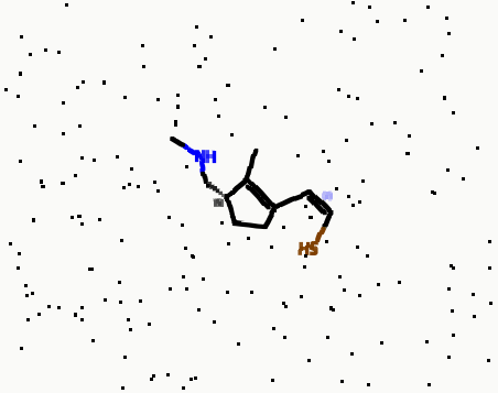 CNC[C@H]1CCC(/C=C\S)=C1C